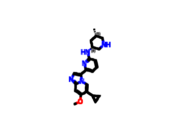 COc1cc2ncc(-c3cccc(N[C@H]4CNC[C@@H](C)C4)n3)n2cc1C1CC1